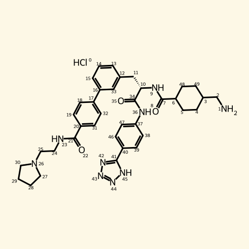 Cl.NCC1CCC(C(=O)N[C@@H](Cc2cccc(-c3ccc(C(=O)NCCN4CCCC4)cc3)c2)C(=O)Nc2ccc(-c3nnn[nH]3)cc2)CC1